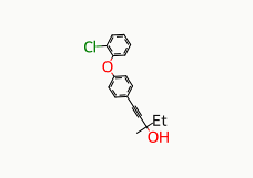 CCC(C)(O)C#Cc1ccc(Oc2ccccc2Cl)cc1